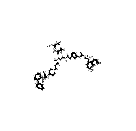 CC(Cc1cccc(CC(=O)NCCCN(C)C(=O)CCN2CCC(OC(=O)Nc3ccccc3-c3ccccc3)CC2)c1)NC[C@H](O)c1ccc(O)c2[nH]c(=O)ccc12.O=C(O)C(F)(F)F.O=C(O)C(F)(F)F